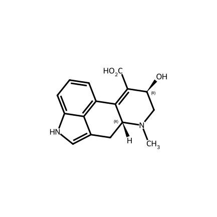 CN1C[C@H](O)C(C(=O)O)=C2c3cccc4[nH]cc(c34)C[C@H]21